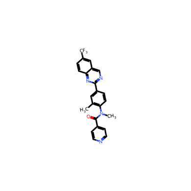 Cc1cc(-c2ncc3cc(C(F)(F)F)ccc3n2)ccc1N(C)C(=O)c1ccncc1